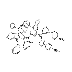 CC(C)(C)c1ccc(-c2cccc(N3c4cc(-c5ccc(C(C)(C)C)cc5)ccc4B4c5ccccc5N(c5ccccc5)c5cc(-n6c7ccccc7c7c8c(c9ccccc9n8-c8ccccc8)c8c(c9ccccc9n8-c8ccccc8)c76)cc3c54)c2)cc1